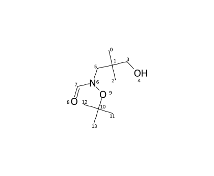 CC(C)(CO)CN(C=O)OC(C)(C)C